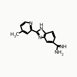 Cc1ccnc(-c2nc3cc(C(=N)N)ccc3[nH]2)c1